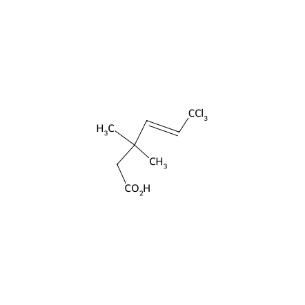 CC(C)(C=CC(Cl)(Cl)Cl)CC(=O)O